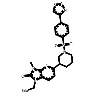 Cn1c(=O)n(CC(C)(C)C)c2ccc(C3CCCN(S(=O)(=O)c4ccc(-c5csnn5)cc4)C3)nc21